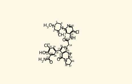 C[C@H]1CN(C)CCN1c1cc(NC(=O)Cn2cc(-c3cc(Cl)c(O)c(C(N)=O)c3)c3c(=O)n4c(nc32)CCC4)c(Cl)cn1